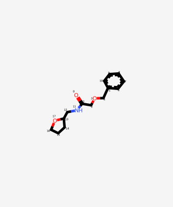 O=C(COCc1ccccc1)NCC1CCCO1